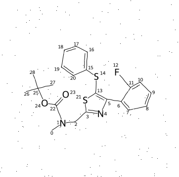 CN(Cc1nc(-c2ccccc2F)c(Sc2ccccc2)s1)C(=O)OC(C)(C)C